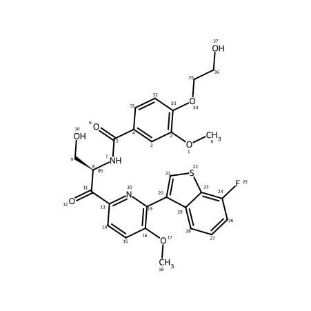 COc1cc(C(=O)N[C@H](CO)C(=O)c2ccc(OC)c(-c3csc4c(F)cccc34)n2)ccc1OCCO